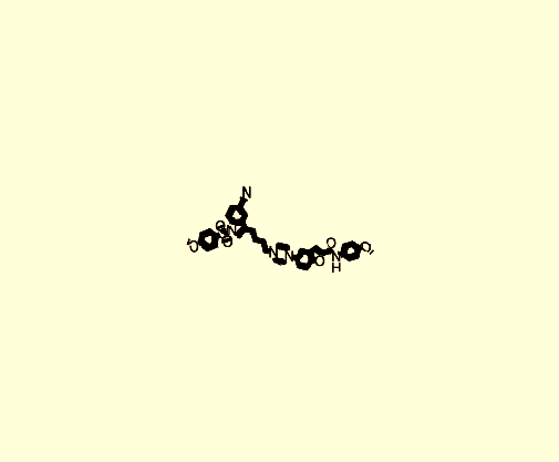 COc1ccc(NC(=O)c2cc3cc(N4CCN(CCCCc5cn(S(=O)(=O)c6ccc(OC)cc6)c6ccc(C#N)cc56)CC4)ccc3o2)cc1